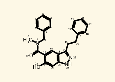 CN(Cc1ccccc1)C(=O)c1cc2c(CCc3ccccc3)n[nH]c2cc1O